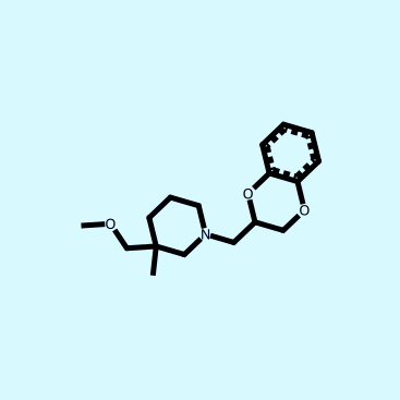 COCC1(C)CCCN(CC2COc3ccccc3O2)C1